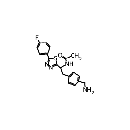 CC(=O)NC(Cc1ccc(CN)cc1)c1nnc(-c2ccc(F)cc2)s1